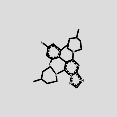 CC1CCN(c2nc3ncnn3c(N3CCC(C)CC3)c2-c2c(F)cc(F)cc2F)CC1